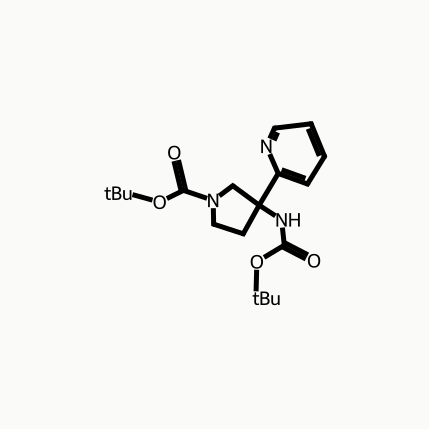 CC(C)(C)OC(=O)NC1(c2ccccn2)CCN(C(=O)OC(C)(C)C)C1